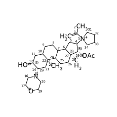 C=C(C)[N+]1(C2CC3C4CCC5C[C@H](O)[C@@H](N6CCOCC6)C[C@]5(C)C4CC[C@]3(C)[C@H]2OC(C)=O)CCCC1